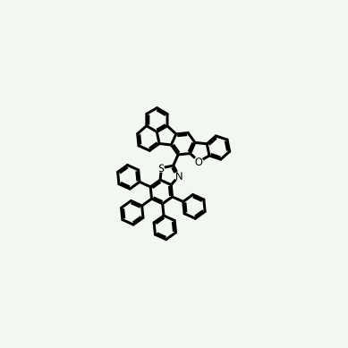 c1ccc(-c2c(-c3ccccc3)c(-c3ccccc3)c3sc(-c4c5c(cc6c4oc4ccccc46)-c4cccc6cccc-5c46)nc3c2-c2ccccc2)cc1